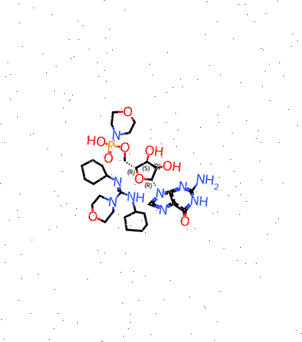 C1CCC(N=C(NC2CCCCC2)N2CCOCC2)CC1.Nc1nc2c(ncn2[C@@H]2O[C@H](COP(=O)(O)N3CCOCC3)[C@@H](O)[C@H]2O)c(=O)[nH]1